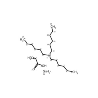 C=CC(=O)O.CCCCC[CH2][Al]([CH2]CCCCC)[CH2]CCCCC.[SnH2]